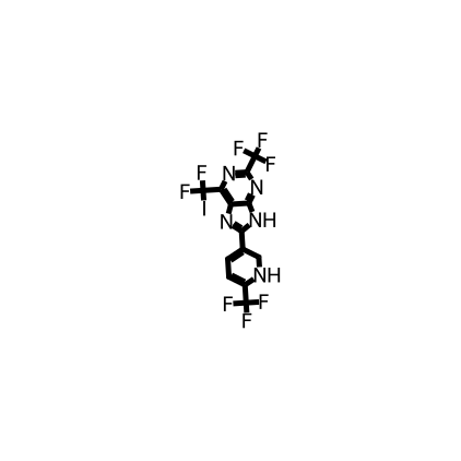 FC(F)(F)C1=CC=C(c2nc3c(C(F)(F)I)nc(C(F)(F)F)nc3[nH]2)CN1